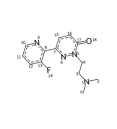 CN(C)CCn1nc(-c2ncccc2F)ccc1=O